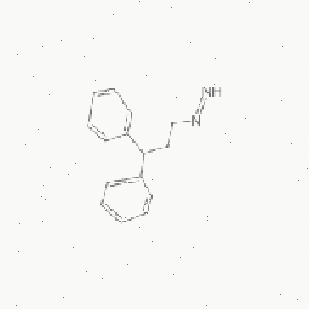 N=NCCC(c1ccccc1)c1ccccc1